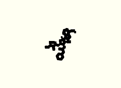 CC(=O)N[C@H](C(=O)OC[C@H]1O[C@@](C)(c2ccc3c(N)ncnn23)[C@H](O)[C@@H]1OC(=O)CC1CCCCC1)C(C)(C)C